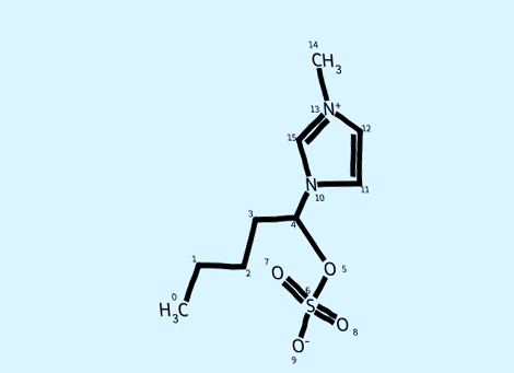 CCCCC(OS(=O)(=O)[O-])n1cc[n+](C)c1